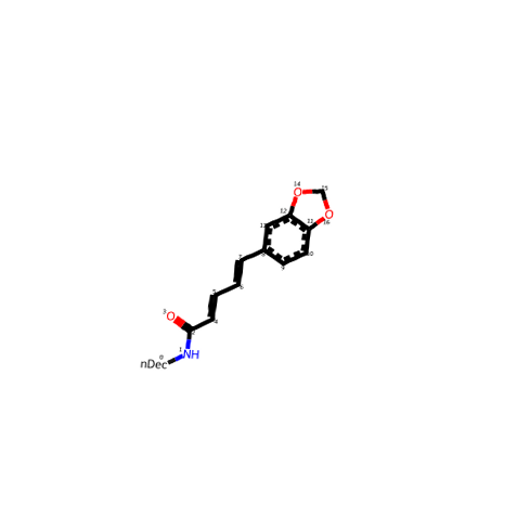 CCCCCCCCCCNC(=O)/C=C/C=C/c1ccc2c(c1)OCO2